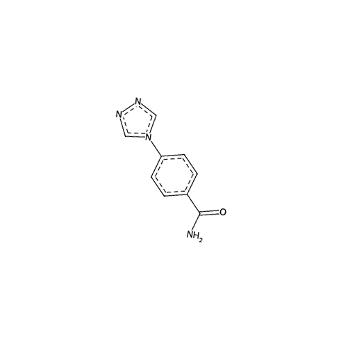 NC(=O)c1ccc(-n2cnnc2)cc1